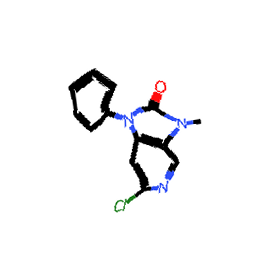 Cn1c(=O)n(-c2ccccc2)c2cc(Cl)ncc21